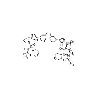 COC(=O)N[C@H](C(=O)N1CCC[C@H]1c1ncc(-c2ccc3c(c2)CCc2cc(-c4cnc([C@@H]5[C@@H](C)C[C@@H](C)N5C(=O)[C@@H](NC(=O)OC)C5CCOCC5)[nH]4)ccc2-3)[nH]1)C1CCOCC1